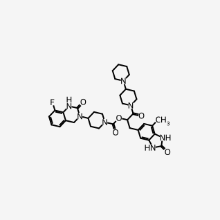 Cc1cc(CC(OC(=O)N2CCC(N3Cc4cccc(F)c4NC3=O)CC2)C(=O)N2CCC(N3CCCCC3)CC2)cc2[nH]c(=O)[nH]c12